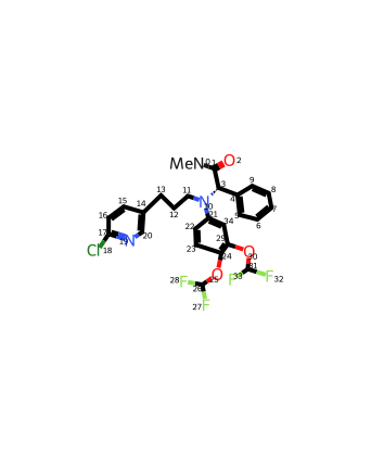 CNC(=O)[C@H](c1ccccc1)N(CCCc1ccc(Cl)nc1)c1ccc(OC(F)F)c(OC(F)F)c1